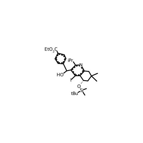 CCOC(=O)c1ccc(C(O)c2c(C(C)C)nc3c(c2I)[C@@H](O[Si](C)(C)C(C)(C)C)CC(C)(C)C3)cc1